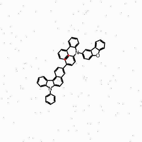 c1ccc(-c2ccccc2N(c2ccc(-c3ccc4c(ccc5c4c4ccccc4n5-c4ccccc4)c3)cc2)c2ccc3oc4ccccc4c3c2)cc1